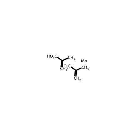 C=C(C)C(=O)O.C=C(C)C(=O)O.[Mo]